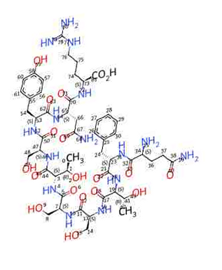 C[C@@H](O)[C@H](NC(=O)[C@H](CO)NC(=O)[C@H](CO)NC(=O)[C@@H](NC(=O)[C@H](Cc1ccccc1)NC(=O)[C@@H](N)CCC(N)=O)[C@@H](C)O)C(=O)N[C@@H](CO)C(=O)N[C@@H](Cc1ccc(O)cc1)C(=O)N[C@@H](CC(N)=O)C(=O)N[C@@H](CCCNC(=N)N)C(=O)O